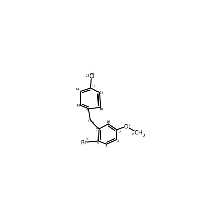 COc1ccc(Br)c([CH]c2ccc(Cl)cc2)c1